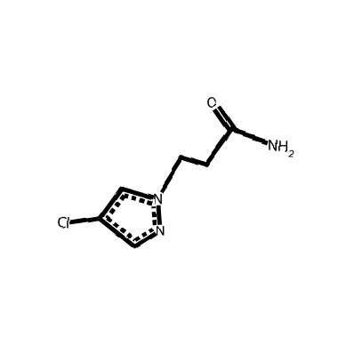 NC(=O)CCn1cc(Cl)cn1